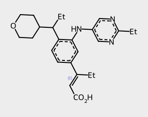 CC/C(=C\C(=O)O)c1ccc(C(CC)C2CCOCC2)c(Nc2cnc(CC)nc2)c1